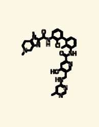 Cc1cc(NCc2cnc(C(=O)Nc3cccc(-c4cccc(NC(=O)c5nc6c(n5C)CCN(C)C6)c4Cl)c3C)cc2O)ncn1